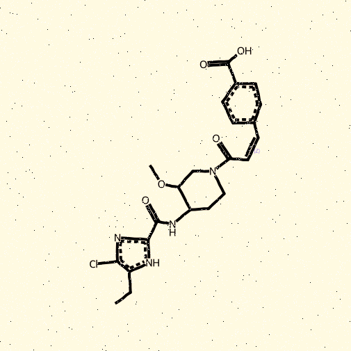 CCc1[nH]c(C(=O)NC2CCN(C(=O)/C=C\c3ccc(C(=O)O)cc3)CC2OC)nc1Cl